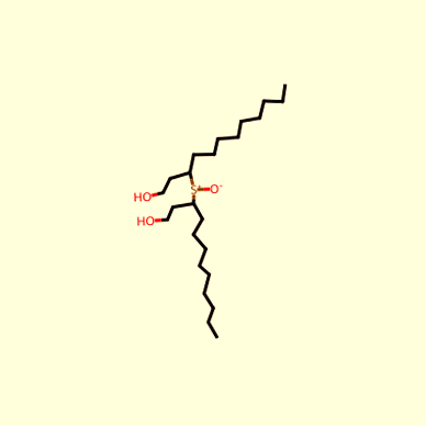 CCCCCCCCCC(CCO)[S+]([O-])C(CCO)CCCCCCCCC